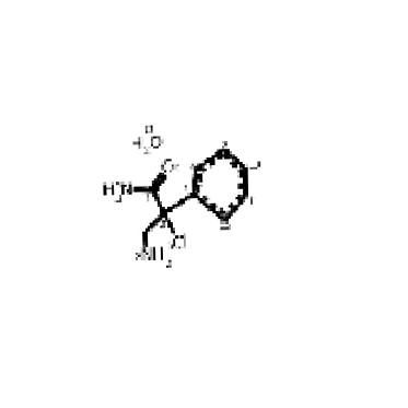 NCC(Cl)(C(N)=O)c1ccccc1.O